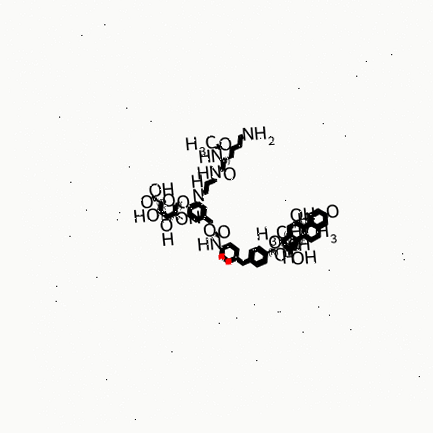 CC(=O)N[C@@H](CCCCN)C(=O)NCCCNc1cc(COC(=O)NC23CCC(Cc4ccc([C@@H]5O[C@@H]6C[C@H]7[C@@H]8CCC9=CC(=O)C=C[C@]9(C)[C@H]8[C@@H](O)C[C@]7(C)[C@]6(C(=O)CO)O5)cc4)(CC2)CC3)ccc1O[C@@H]1O[C@H](C(=O)O)[C@@H](O)[C@H](O)[C@H]1O